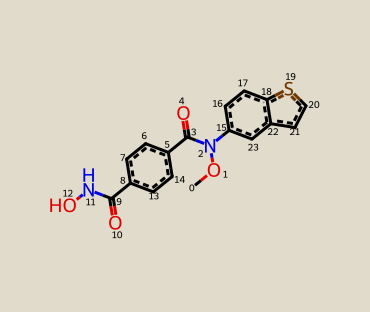 CON(C(=O)c1ccc(C(=O)NO)cc1)c1ccc2sccc2c1